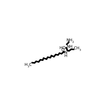 CCCCCCCCCCCCCCCCCC(=O)NC(CCCC)[C@H](O)NCCN